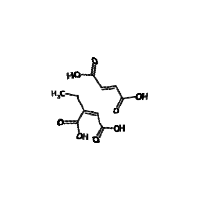 CCC(=CC(=O)O)C(=O)O.O=C(O)C=CC(=O)O